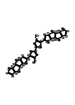 Fc1cc(-c2cc(F)c(-c3cc4sc5c6sccc6sc5c4s3)s2)sc1-c1cc2sc3c4sccc4sc3c2s1